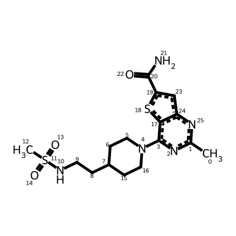 Cc1nc(N2CCC(CCNS(C)(=O)=O)CC2)c2sc(C(N)=O)cc2n1